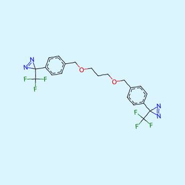 FC(F)(F)C1(c2ccc(COCCCOCc3ccc(C4(C(F)(F)F)N=N4)cc3)cc2)N=N1